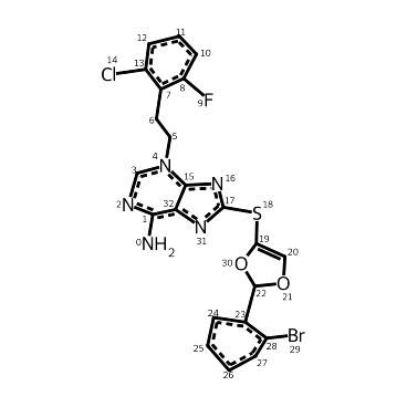 Nc1ncn(CCc2c(F)cccc2Cl)c2nc(SC3=COC(c4ccccc4Br)O3)nc1-2